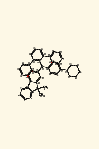 CC1(C)c2ccccc2-c2ccc(N(c3ccc(C4CCCCC4)cc3)c3c(-c4ccccc4)cccc3-c3ccccc3)cc21